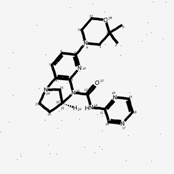 CC1(C)CN(c2ccc3c(n2)N(C(=O)Nc2cnccn2)[C@H]2CCN3C2)CCO1